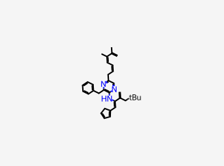 C=C(C)/C(C)=C\C=C/Cc1cnc(N/C(=C\C2=CC=CC2)C(=C)CC(C)(C)C)c(Cc2ccccc2)n1